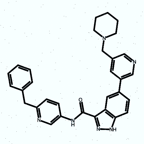 O=C(Nc1ccc(Cc2ccccc2)nc1)c1n[nH]c2ccc(-c3cncc(CN4CCCCC4)c3)cc12